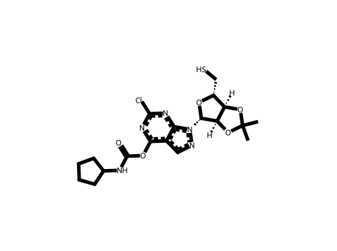 CC1(C)O[C@@H]2[C@H](O1)[C@@H](CS)O[C@H]2n1ncc2c(OC(=O)NC3CCCC3)nc(Cl)nc21